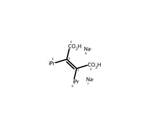 CC(C)C(C(=O)O)=C(C(=O)O)C(C)C.[Na].[Na]